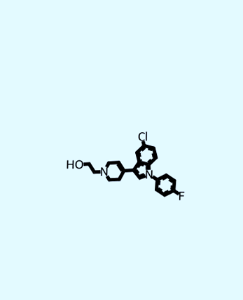 OCCN1CC=C(c2cn(-c3ccc(F)cc3)c3ccc(Cl)cc23)CC1